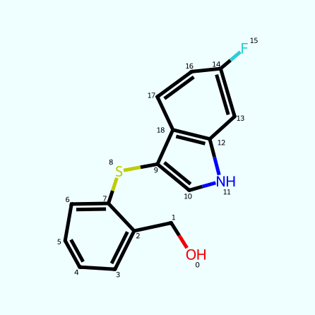 OCc1ccccc1Sc1c[nH]c2cc(F)ccc12